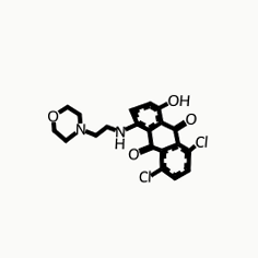 O=C1c2c(O)ccc(NCCN3CCOCC3)c2C(=O)c2c(Cl)ccc(Cl)c21